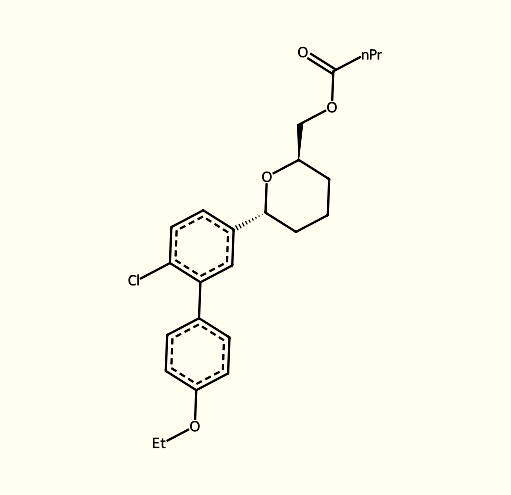 CCCC(=O)OC[C@H]1CCC[C@H](c2ccc(Cl)c(-c3ccc(OCC)cc3)c2)O1